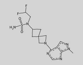 Cn1ncc2c(N3CC4(CC(N(CC(F)F)S(N)(=O)=O)C4)C3)ncnc21